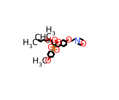 COc1ccc(S(=O)(=O)C(CC=C(C)CCC=C(C)C)(Cc2ccc(OCCN3CCOCC3)cc2)C(=O)O)cc1